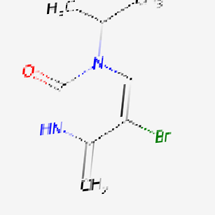 C=C1NC(=O)N(C(C)C)C=C1Br